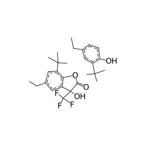 CCc1cc(C(C)(C)C)c2c(c1)C(O)(C(F)(F)F)C(=O)O2.CCc1ccc(O)c(C(C)(C)C)c1